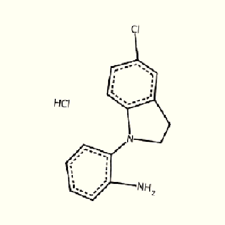 Cl.Nc1ccccc1N1CCc2cc(Cl)ccc21